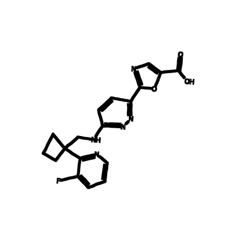 O=C(O)c1cnc(-c2ccc(NCC3(c4ncccc4F)CCC3)nn2)o1